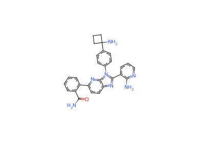 NC(=O)c1ccccc1-c1ccc2nc(-c3cccnc3N)n(-c3ccc(C4(N)CCC4)cc3)c2n1